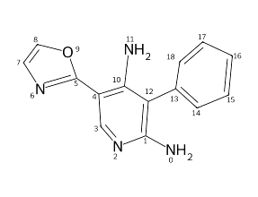 Nc1ncc(-c2ncco2)c(N)c1-c1ccccc1